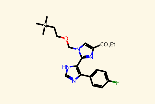 CCOC(=O)c1cn(COCC[Si](C)(C)C)c(-c2[nH]cnc2-c2ccc(F)cc2)n1